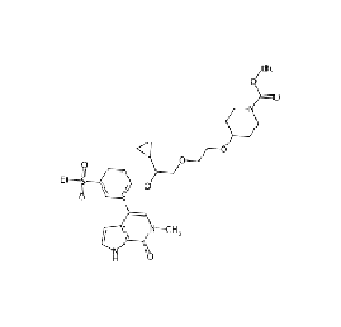 CCS(=O)(=O)c1ccc(OC(COCCOC2CCN(C(=O)OC(C)(C)C)CC2)C2CC2)c(-c2cn(C)c(=O)c3[nH]ccc23)c1